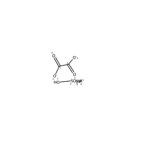 O=C([O-])C(=O)[O-].O=S(=O)(O)O.[K+].[Na+]